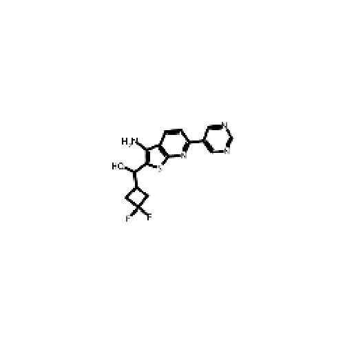 Nc1c(C(O)C2CC(F)(F)C2)sc2nc(-c3cncnc3)ccc12